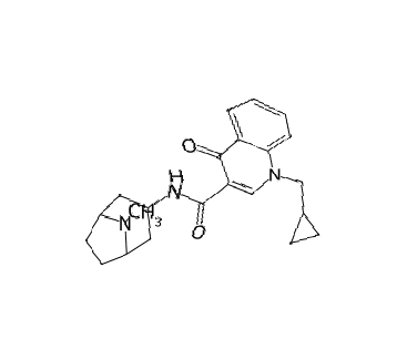 CN1C2CCC1CC(NC(=O)c1cn(CC3CC3)c3ccccc3c1=O)C2